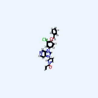 C=CC(=O)N1CC[C@@H](N2CN(c3ccc(OCc4ccccc4)c(Cl)c3)c3cnccc32)C1